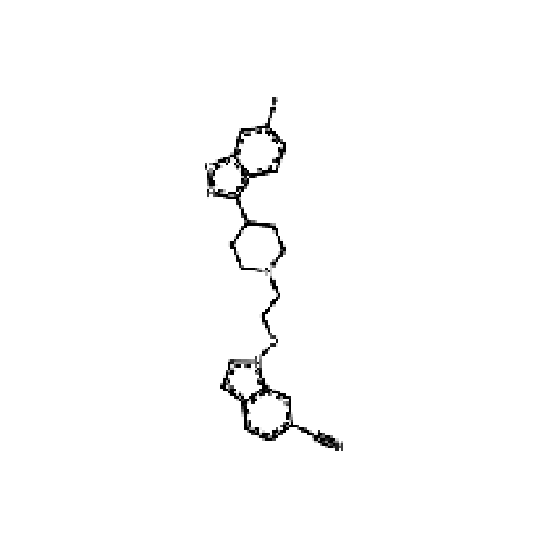 N#Cc1ccc2ccn(OCCN3CCC(c4noc5cc(F)ccc45)CC3)c2c1